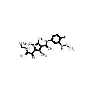 C=C(NCC)C(=O)c1c(C)c(C(=C)Nc2ccc(F)c(NSC)c2)c(C)n1C